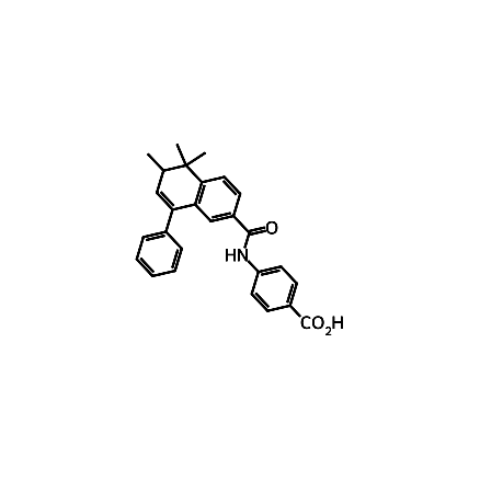 CC1C=C(c2ccccc2)c2cc(C(=O)Nc3ccc(C(=O)O)cc3)ccc2C1(C)C